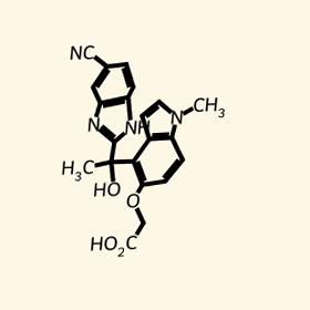 Cn1ccc2c(C(C)(O)c3nc4cc(C#N)ccc4[nH]3)c(OCC(=O)O)ccc21